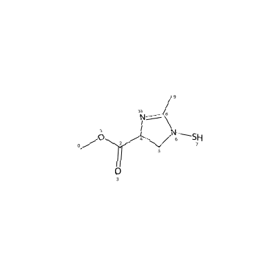 COC(=O)C1CN(S)C(C)=N1